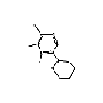 CCc1ncc(C2CCCCC2)c(C)c1C